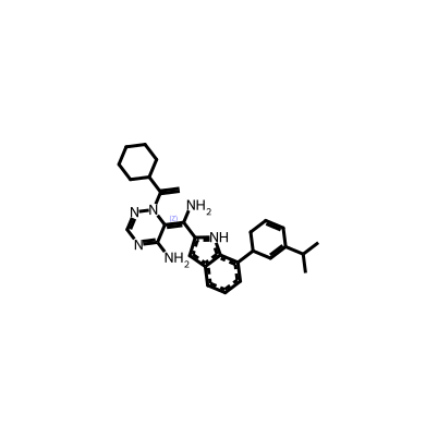 C=C(C1CCCCC1)N1N=CN=C(N)/C1=C(/N)c1cc2cccc(C3C=C(C(C)C)C=CC3)c2[nH]1